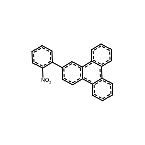 O=[N+]([O-])c1ccccc1-c1ccc2c3ccccc3c3ccccc3c2c1